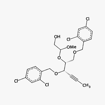 CC#C[C@H](OCc1ccc(Cl)cc1Cl)[C@@H](COCc1ccc(Cl)cc1Cl)OC(CO)OC